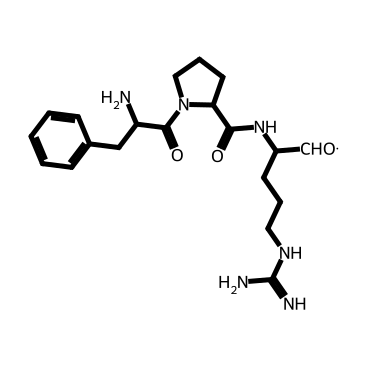 N=C(N)NCCCC([C]=O)NC(=O)C1CCCN1C(=O)C(N)Cc1ccccc1